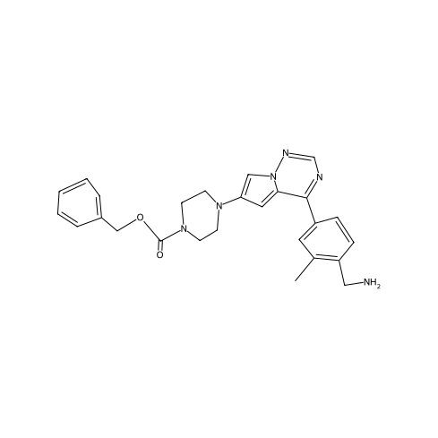 Cc1cc(-c2ncnn3cc(N4CCN(C(=O)OCc5ccccc5)CC4)cc23)ccc1CN